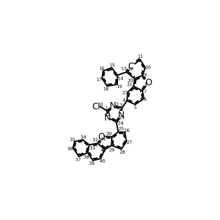 Clc1nc(-c2ccc3oc4cccc(-c5ccccc5)c4c3c2)nc(-c2cccc3c2oc2c4ccccc4ccc32)n1